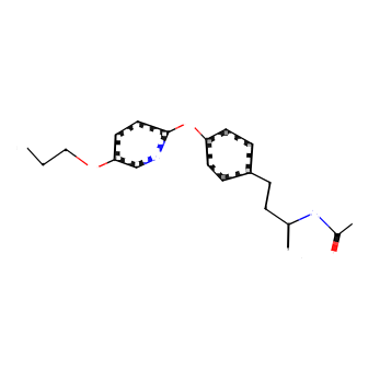 CCCOc1ccc(Oc2ccc(CCC(C)NC(C)=O)cc2)nc1